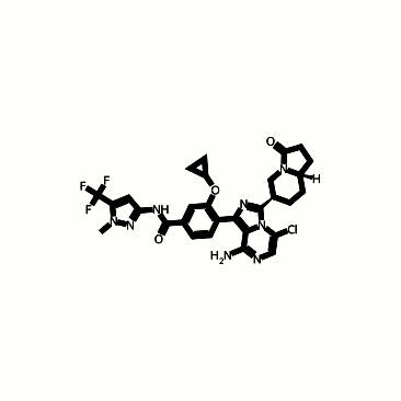 Cn1nc(NC(=O)c2ccc(-c3nc([C@@H]4CC[C@H]5CCC(=O)N5C4)n4c(Cl)cnc(N)c34)c(OC3CC3)c2)cc1C(F)(F)F